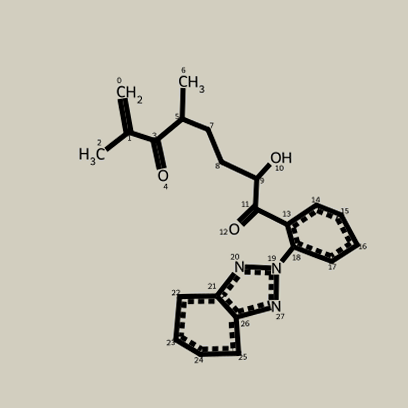 C=C(C)C(=O)C(C)CCC(O)C(=O)c1ccccc1-n1nc2ccccc2n1